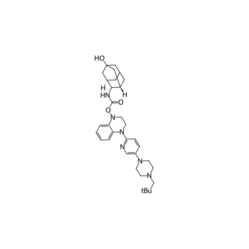 CC(C)(C)CN1CCN(c2ccc(N3CCN(OC(=O)NC4[C@@H]5CC6C[C@H]4CC(O)(C6)C5)c4ccccc43)nc2)CC1